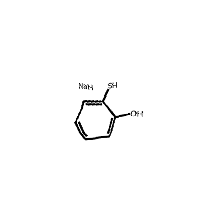 Oc1ccccc1S.[NaH]